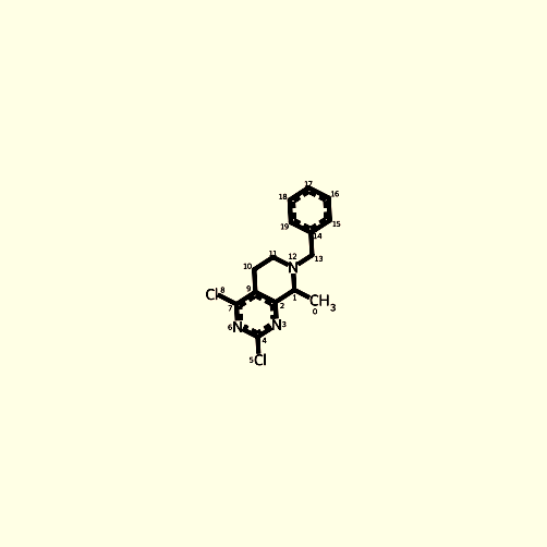 CC1c2nc(Cl)nc(Cl)c2CCN1Cc1ccccc1